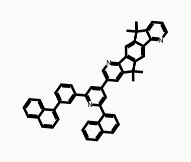 CC1(C)c2cc3c(cc2-c2ncccc21)C(C)(C)c1cc(-c2cc(-c4cccc(-c5cccc6ccccc56)c4)nc(-c4cccc5ccccc45)c2)cnc1-3